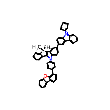 C[Si]1(C)c2ccccc2-c2c1c1cc(-c3ccc4c(c3)c3ccccc3n4-c3ccccc3)ccc1n2-c1ccc(-c2cccc3c2oc2ccccc23)cc1